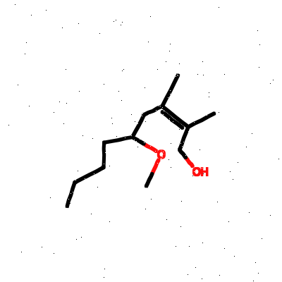 CCCCC(CC(C)=C(C)CO)OC